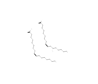 CCCCCCCC/C=C\CCCCCCCC(=O)O.CCCCCC[C@@H](O)C/C=C\CCCCCCCC(=O)O